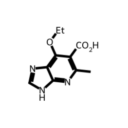 CCOc1c(C(=O)O)c(C)nc2[nH]cnc12